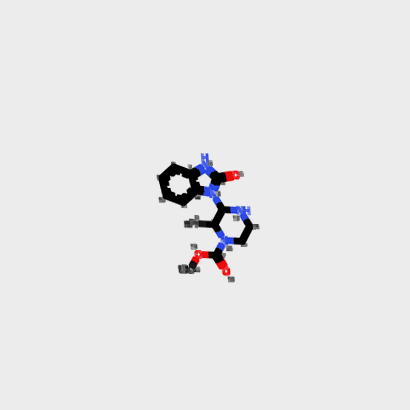 CCCC1C(n2c(=O)[nH]c3ccccc32)NCCN1C(=O)OC(C)(C)C